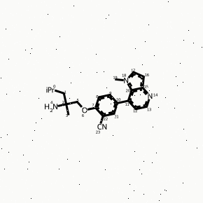 CC(C)CC(C)(N)COc1ccc(-c2ccnc3ccn(C)c23)cc1C#N